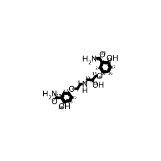 NC(=O)c1cc(OCCNCC(O)COc2ccc(O)c(C(N)=O)c2)ccc1O